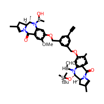 C#Cc1cc(COc2cc3c(cc2C)C(=O)N2C=C(C)C[C@H]2[C@H](O[Si](C)(C)C(C)(C)C)N3BC=O)cc(COc2cc3c(cc2OC)C(=O)N2C=C(C)C[C@H]2[C@H](C)N3B(C)O)c1